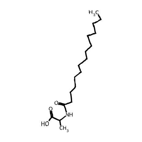 CCCCCCCCCCCCCCC(=O)NC(C)C(=O)O